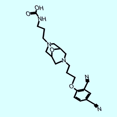 N#Cc1ccc(OCCCN2CC3CN(CCCNC(=O)O)CC(C2)O3)c(C#N)c1